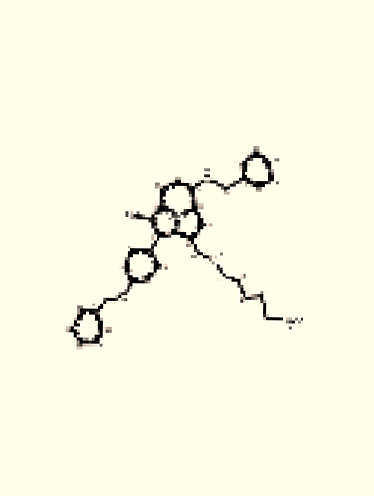 CCc1c(-c2ccc(OCc3ccccc3)cc2)c2c(COCCCCCOC)cc3c(OCc4ccccc4)ccc1n32